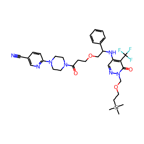 C[Si](C)(C)CCOCn1ncc(NC(COCCC(=O)N2CCN(c3ccc(C#N)cn3)CC2)c2ccccc2)c(C(F)(F)F)c1=O